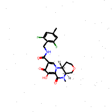 Cc1cc(F)c(CNC(=O)c2cn3c(c(O)c2=O)C(=O)N(C)[C@@H]2COCC[C@H]23)c(F)c1